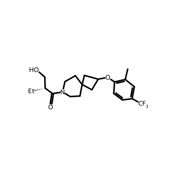 CC[C@H](CO)C(=O)N1CCC2(CC1)CC(Oc1ccc(C(F)(F)F)cc1C)C2